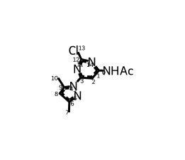 CC(=O)Nc1cc(-n2nc(C)cc2C)nc(Cl)n1